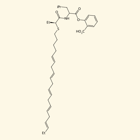 CCC=CCC=CCC=CCC=CCC=CCCCCS[C@@H](CC)C(=O)NC(CC(C)C)C(=O)Oc1ccccc1C(=O)O